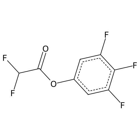 O=C(Oc1cc(F)c(F)c(F)c1)C(F)F